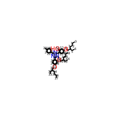 CCCCC(CC)COc1ccc(-c2nc(-c3ccc(C)cc3)nc(-c3ccc(OCC(CC)CCCC)cc3OCC(CC)CCCC)n2)c(O)c1